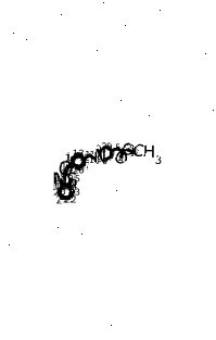 CCOC(=O)CC1CCN(CCc2ccc(Oc3nc4ccccc4s3)cc2)CC1